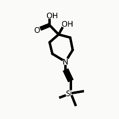 C[Si](C)(C)C#CN1CCC(O)(C(=O)O)CC1